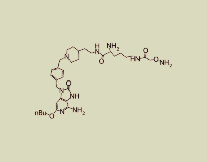 CCCCOc1cc2c([nH]c(=O)n2Cc2ccc(CN3CCC(CCNC(=O)C(N)CCCCNC(=O)CON)CC3)cc2)c(N)n1